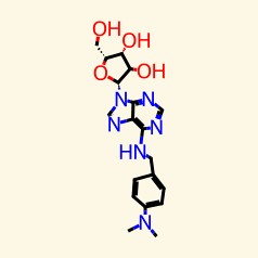 CN(C)c1ccc(CNc2ncnc3c2ncn3[C@@H]2O[C@H](CO)[C@H](O)C2O)cc1